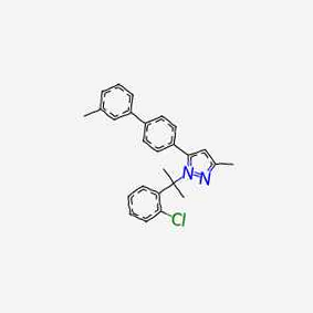 Cc1cccc(-c2ccc(-c3cc(C)nn3C(C)(C)c3ccccc3Cl)cc2)c1